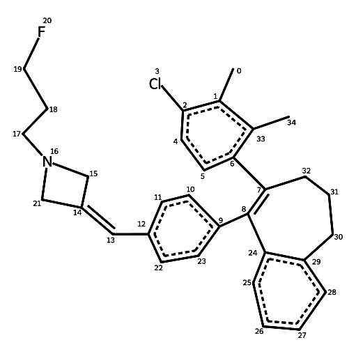 Cc1c(Cl)ccc(C2=C(c3ccc(C=C4CN(CCCF)C4)cc3)c3ccccc3CCC2)c1C